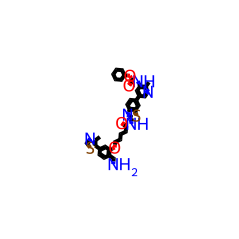 Cc1ncc(-c2ccc3nc(NC(=O)CCCCOc4cc(-c5scnc5C)ccc4CN)sc3c2)cc1NC(=O)OC1CCCCC1